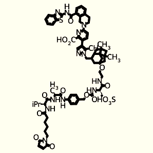 Cc1c(-c2ccc(N3CCc4cccc(C(=O)Nc5nc6ccccc6s5)c4C3)nc2C(=O)O)cnn1CC12CC3(OCCNC(=O)[C@H](CS(=O)(=O)O)NC(=O)OCc4ccc(NC(=O)[C@H](C)NC(=O)[C@@H](NC(=O)CCCCCN5C(=O)C=CC5=O)C(C)C)cc4)CC4(C)CC(C)(C1)C4(C2)C3